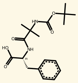 CC(C)(C)OC(=O)NC(C)(C)C(=O)N[C@H](Cc1ccccc1)C(=O)O